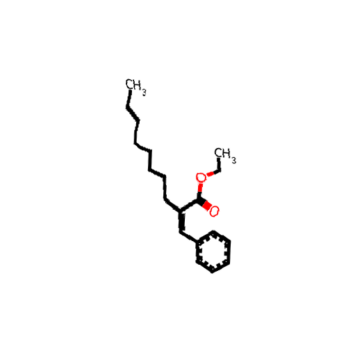 CCCCCCCCC(=Cc1ccccc1)C(=O)OCC